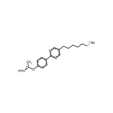 CCCCCC[C@@H](C)Oc1ccc(-c2ncc(CCCCCC[C@@H](C)CC)cn2)cc1